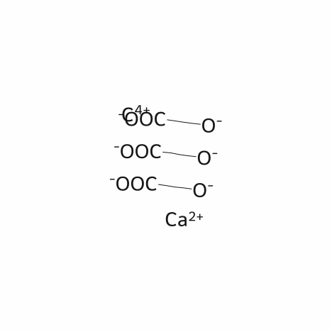 O=C([O-])[O-].O=C([O-])[O-].O=C([O-])[O-].[C+4].[Ca+2]